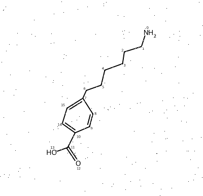 NCCCCCCc1ccc(C(=O)O)cc1